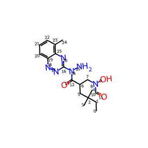 CCC(C)(C)CC(CN(O)C=O)C(=O)N(N)c1nnc2cccc(C)c2n1